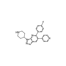 Fc1ccc(-c2nc3c(cnn3C3CCNCC3)cc2-c2ccncc2)cc1